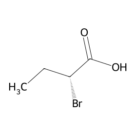 CC[C@@H](Br)C(=O)O